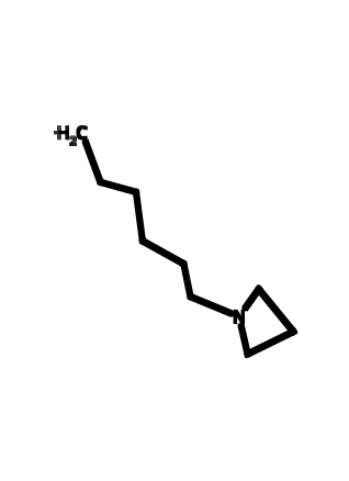 [CH2]CCCCCN1CCC1